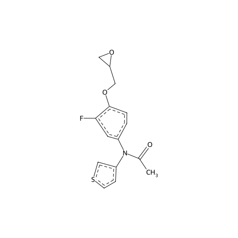 CC(=O)N(c1ccsc1)c1ccc(OCC2CO2)c(F)c1